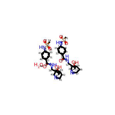 CS(=O)(=O)Nc1ccc(C(=O)NCC2(O)CN3CCC2CC3)cc1.CS(=O)(=O)Nc1ccc(C(=O)NCC2(O)CN3CCC2CC3)cc1.O